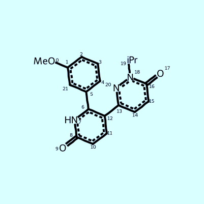 COc1cccc(-c2[nH]c(=O)ccc2-c2ccc(=O)n(C(C)C)n2)c1